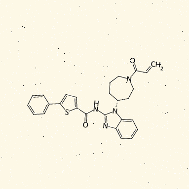 C=CC(=O)N1CCC[C@@H](n2c(NC(=O)c3ccc(-c4ccccc4)s3)nc3ccccc32)CC1